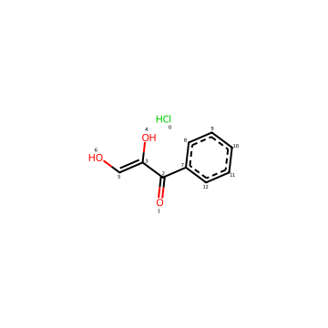 Cl.O=C(C(O)=CO)c1ccccc1